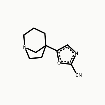 N#Cc1ncc(C23CCCN(CC2)C3)o1